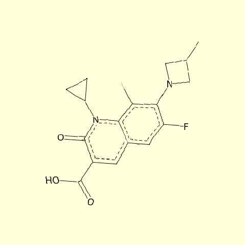 Cc1c(N2CC(C)C2)c(F)cc2cc(C(=O)O)c(=O)n(C3CC3)c12